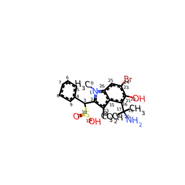 Cn1c(C(c2ccccc2)S(=O)O)c(C(=O)O)c2c(C(C)(C)N)c(O)c(Br)cc21